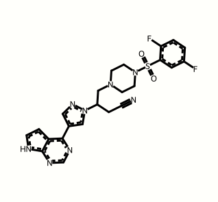 N#CCC(CN1CCN(S(=O)(=O)c2cc(F)ccc2F)CC1)n1cc(-c2ncnc3[nH]ccc23)cn1